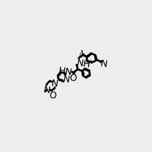 C[C@H](CNCC(C(=O)Nc1ccc(N2CCN(C)C(=O)C2)cn1)c1ccccc1)c1ccc(C#N)cc1